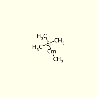 [CH3][Cm][Si](C)(C)C